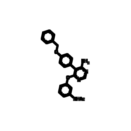 CC(=O)Nc1cccc(Oc2ncnc(N)c2-c2ccc(OCc3ccccc3)cc2)c1